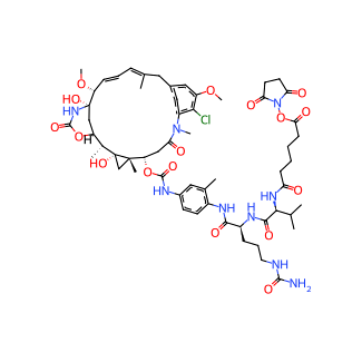 COc1cc2cc(c1Cl)N(C)C(=O)C[C@H](OC(=O)Nc1ccc(NC(=O)[C@H](CCCNC(N)=O)NC(=O)[C@@H](NC(=O)CCCCC(=O)ON3C(=O)CCC3=O)C(C)C)c(C)c1)[C@]1(C)C[C@@]1(O)[C@H](C)[C@@H]1C[C@@](O)(NC(=O)O1)[C@H](OC)/C=C/C=C(\C)C2